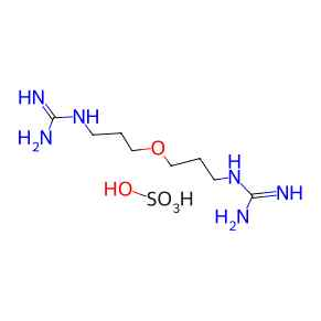 N=C(N)NCCCOCCCNC(=N)N.O=S(=O)(O)O